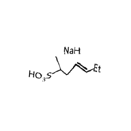 CCC=CCC(C)S(=O)(=O)O.[NaH]